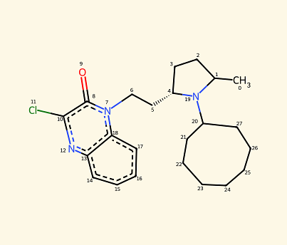 CC1CC[C@@H](CCn2c(=O)c(Cl)nc3ccccc32)N1C1CCCCCCC1